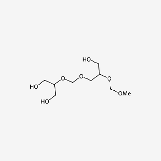 COCOC(CO)COCOC(CO)CO